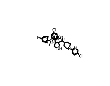 CN(C(=O)Oc1ccc(F)cc1)[C@]1(C(=O)C2CCN(c3ccc(Cl)cn3)CC2)CNC[C@@]1(C)c1ccc(Cl)cc1